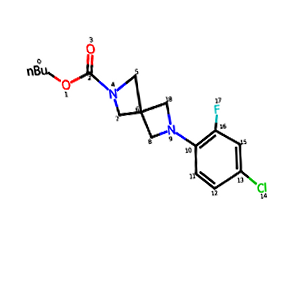 CCCCOC(=O)N1CC2(C1)CN(c1ccc(Cl)cc1F)C2